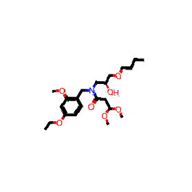 CCCCOC[C@@H](O)CN(Cc1ccc(OCC)cc1OC)C(=O)CC(OC)OC